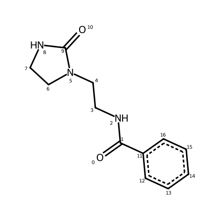 O=C(NCCN1CCNC1=O)c1ccccc1